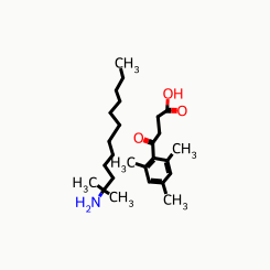 CCCCCCCCCCC(C)(C)N.Cc1cc(C)c(C(=O)CCC(=O)O)c(C)c1